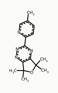 Cc1ccc(-c2nnc3c(n2)C(C)(C)OC3(C)C)nc1